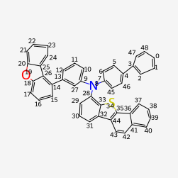 c1ccc(-c2ccc(N(c3cccc(-c4cccc5oc6ccccc6c45)c3)c3cccc4c3sc3c5ccccc5ccc43)cc2)cc1